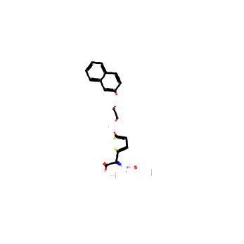 CO/N=C(/C(=O)O)c1ccc(OCCOc2ccc3ccccc3c2)s1